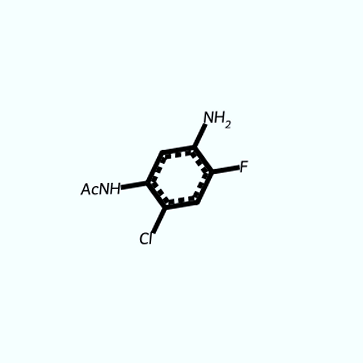 CC(=O)Nc1cc(N)c(F)cc1Cl